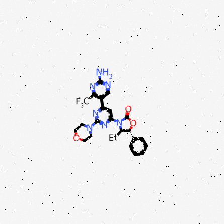 CCC1[C@@H](c2ccccc2)OC(=O)N1c1cc(-c2cnc(N)nc2C(F)(F)F)nc(N2CCOCC2)n1